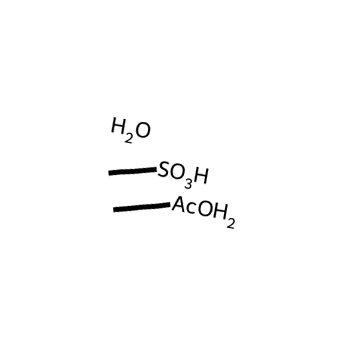 CC(C)=O.CS(=O)(=O)O.O.O